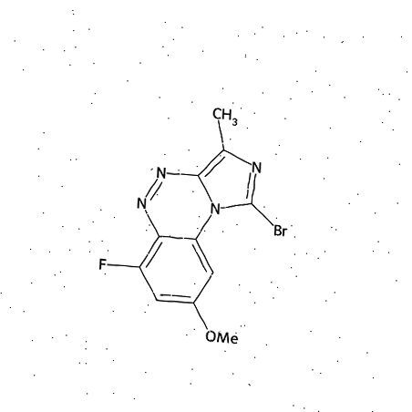 COc1cc(F)c2nnc3c(C)nc(Br)n3c2c1